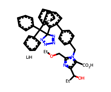 CCOCc1nc(C(O)CC)c(C(=O)O)n1Cc1ccc(-c2ccccc2C2(C(c3ccccc3)(c3ccccc3)c3ccccc3)N=NN=N2)cc1.[LiH]